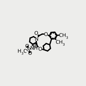 Cc1ccc2c(c1C)C1CCC(CC1)OC[C@H]1[C@@H](NS(C)(=O)=O)CCCN1C(=O)CO2